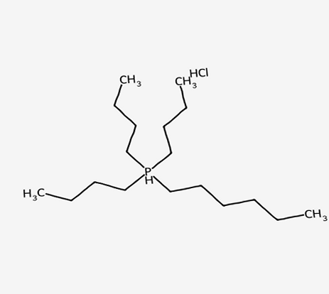 CCCCCC[PH](CCCC)(CCCC)CCCC.Cl